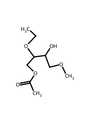 CCOC(COC(C)=O)C(O)COC